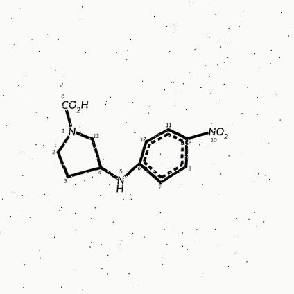 O=C(O)N1CCC(Nc2ccc([N+](=O)[O-])cc2)C1